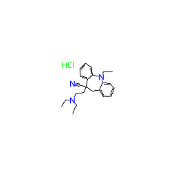 CCN(CC)CCC1(C#N)Cc2ccccc2N(CC)c2ccccc21.Cl